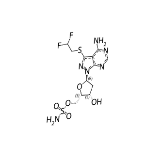 Nc1ncnc2c1c(SCC(F)F)nn2[C@H]1C[C@H](O)[C@H](COS(N)(=O)=O)O1